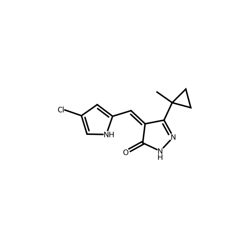 CC1(C2=NNC(=O)C2=Cc2cc(Cl)c[nH]2)CC1